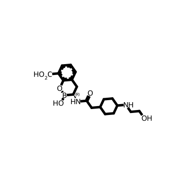 O=C(CC1CCC(NCCO)CC1)N[C@H]1Cc2cccc(C(=O)O)c2OB1O